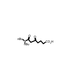 CCCCN(CCCC)C(=O)CC(=O)CCCC(=O)O